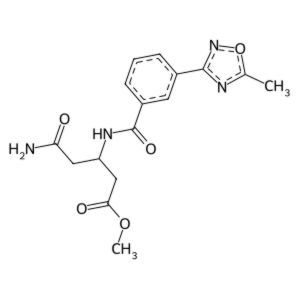 COC(=O)CC(CC(N)=O)NC(=O)c1cccc(-c2noc(C)n2)c1